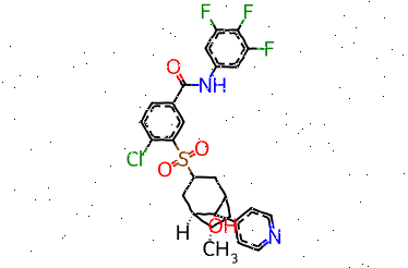 C[C@H]1CC2CC(S(=O)(=O)c3cc(C(=O)Nc4cc(F)c(F)c(F)c4)ccc3Cl)C[C@H]1[C@@]2(O)c1ccncc1